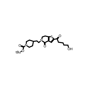 CC(C)(C)OC(=O)N1CCC(CCN2CCc3sc(C(=O)CCCCO)cc3C2=O)CC1